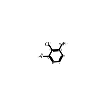 C[C](C)c1cccc(C(C)C)c1Cl